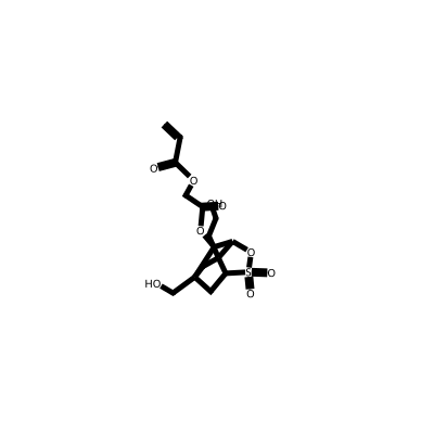 C=CC(=O)OCC(=O)OC1C2OS(=O)(=O)C3CC1(CO)CC23CCO